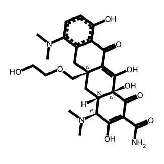 CN(C)c1ccc(O)c2c1C[C@@]1(COCCO)C[C@H]3[C@H](N(C)C)C(O)=C(C(N)=O)C(=O)[C@@]3(O)C(O)=C1C2=O